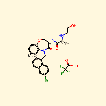 CC[C@H](NCCO)C(=O)N[C@H]1COc2ccccc2N(Cc2c(OC)ccc3cc(Br)ccc23)C1=O.O=C(O)C(F)(F)F